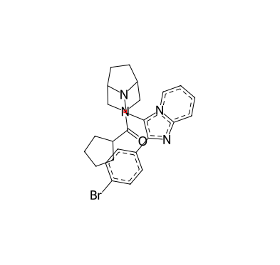 O=C(C1CCCC1)N1CC2CCC(C1)N2Cc1c(-c2ccc(Br)cc2)nc2ccccn12